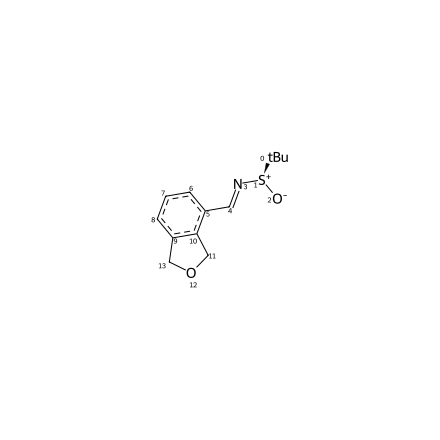 CC(C)(C)[S@@+]([O-])N=Cc1cccc2c1COC2